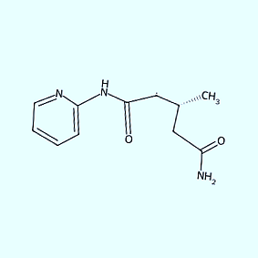 C[C@@H]([CH]C(=O)Nc1ccccn1)CC(N)=O